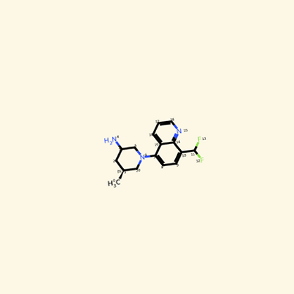 C[C@H]1CC(N)CN(c2ccc(C(F)F)c3ncccc23)C1